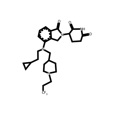 O=C1CCC(N2Cc3c(cccc3N(CCC3CC3)CC3CCN(CCC(F)(F)F)CC3)C2=O)C(=O)N1